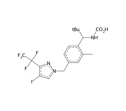 Cc1cc(Cn2cc(I)c(C(F)(F)C(F)(F)F)n2)ccc1C(NC(=O)O)C(C)(C)C